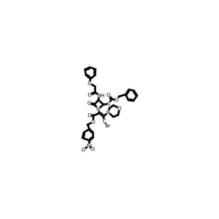 O=C(COc1ccccc1)NC1C(=O)N(/C(C(=O)OCc2ccc([N+](=O)[O-])cc2)=C(/CBr)N2CCOCC2)C1SC(=O)OCc1ccccc1